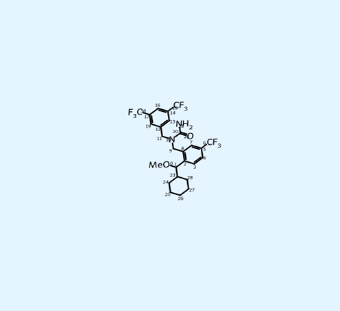 COC(c1ccc(C(F)(F)F)cc1CN(Cc1cc(C(F)(F)F)cc(C(F)(F)F)c1)C(N)=O)C1CCCCC1